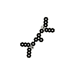 O=P(c1ccc(-c2ccc3c4ccc(-c5ccc(P(=O)(c6ccc7cc8ccccc8cc7c6)c6ccc7cc8ccccc8cc7c6)cc5)cc4c4ccccc4c3c2)cc1)(c1ccc2cc3ccccc3cc2c1)c1ccc2cc3ccccc3cc2c1